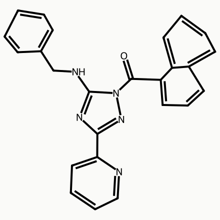 O=C(c1cccc2ccccc12)n1nc(-c2ccccn2)nc1NCc1ccccc1